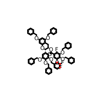 O=C(O[C@@H]1Cc2c(OCc3ccccc3)cc(OCc3ccccc3)cc2O[C@H]1c1cc(OCc2ccccc2)c(OCc2ccccc2)c(OCc2ccccc2)c1)c1cc(OC(F)F)c(OCc2ccccc2)c(OCc2ccccc2)c1F